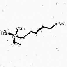 CCCCCCCCCCCCCCC[P+](CCCC)(CCCC)CCCC